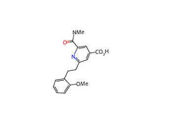 CNC(=O)c1cc(C(=O)O)cc(CCc2ccccc2OC)n1